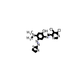 CN(C)c1cc(O)c(/N=N/c2ncnc(Cl)c2Cl)cc1/N=N/c1nccs1